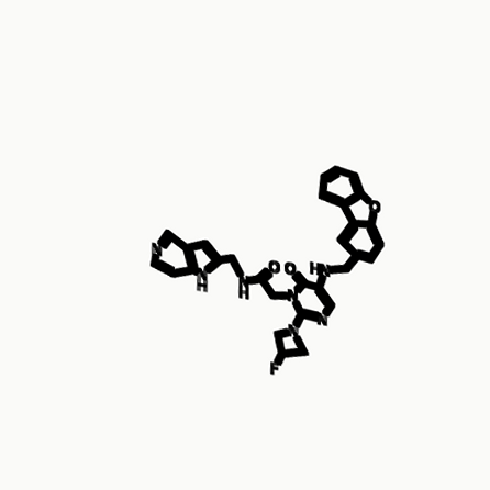 O=C(Cn1c(N2CC(F)C2)ncc(NCc2ccc3oc4ccccc4c3c2)c1=O)NCc1cc2cnccc2[nH]1